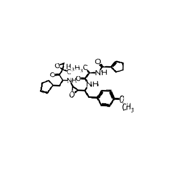 COc1ccc(CC(NC(=O)C(C)NC(=O)C2=CCCC2)C2OC2NC(CC2CCCC2)C(=O)C2(C)CO2)cc1